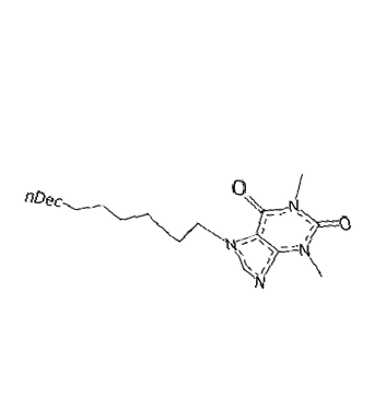 CCCCCCCCCCCCCCCCn1cnc2c1c(=O)n(C)c(=O)n2C